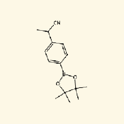 CC(C#N)c1ccc(B2OC(C)(C)C(C)(C)O2)cc1